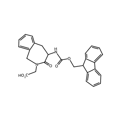 O=C(O)CN1Cc2ccccc2CC(NC(=O)OCC2c3ccccc3-c3ccccc32)C1=O